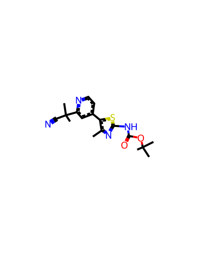 Cc1nc(NC(=O)OC(C)(C)C)sc1-c1ccnc(C(C)(C)C#N)c1